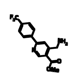 COC(=O)c1cnc(-c2ccc(C(F)(F)F)cc2)cc1CN